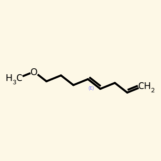 C=CC/C=C/CCCOC